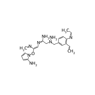 C=Cc1cc(CN(N)C/C(N)=N\C=C(/N=C)On2cccc2N)ccc1/N=C\C